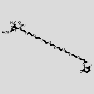 CC(=O)Nc1nc(N(CCOCCOCCOCCOCCOCCOCCOCCOCCC(=O)ON2C(=O)CCC2=O)[SH](=O)=O)c(C)s1